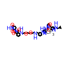 O=C1CCC(N2C(=O)c3cccc(NCCOCCOCCNCc4cccc(-n5cc(NC(=O)N6C=COC6c6ccnc(NCC7CC7)c6)c(C(F)(F)F)n5)c4)c3C2=O)C(=O)N1